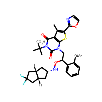 COc1ccccc1C(Cn1c(=O)n(C(C)(C)C(=O)O)c(=O)c2c(C)c(-c3ncco3)sc21)ON[C@@H]1C[C@@H]2CC(F)(F)C[C@@H]2C1